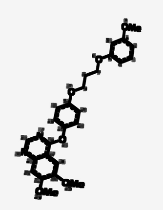 COc1cccc(OCCCOc2ccc(Oc3ncnc4cc(OC)c(OC)cc34)cc2)c1